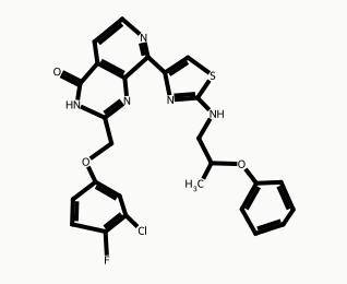 CC(CNc1nc(-c2nccc3c(=O)[nH]c(COc4ccc(F)c(Cl)c4)nc23)cs1)Oc1ccccc1